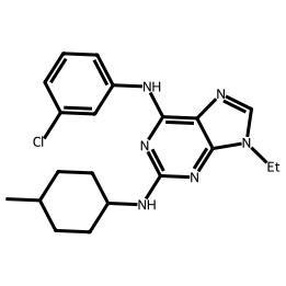 CCn1cnc2c(Nc3cccc(Cl)c3)nc(NC3CCC(C)CC3)nc21